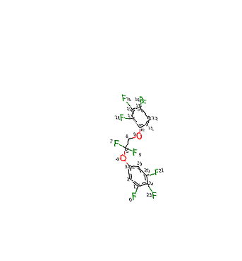 Fc1cc(OC(F)(F)COc2ccc(Br)c(F)c2F)cc(F)c1F